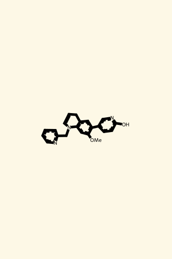 COc1cc2c(cc1-c1ccc(O)nc1)CC=CN2Cc1ccccn1